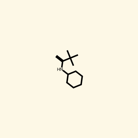 C=C(NC1CCCCC1)C(C)(C)C